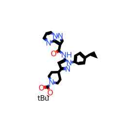 CC(C)(C)OC(=O)N1CCC(c2cc(NC(=O)c3cnn4cccnc34)n(-c3ccc(C4CC4)cc3)n2)CC1